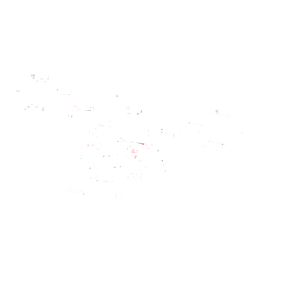 C=C(C)C1=C(C)C2(O)C(O)(C1=O)C(C)(CC(C)=O)[C@@]1(OCOCc3ccccc3)CCC(C)C(OCOCc3ccccc3)C21O